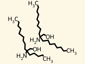 CCCCCCCCCC(N)(CO)CCCCC.CCCCCCCCCC(N)(CO)CCCCCCCC